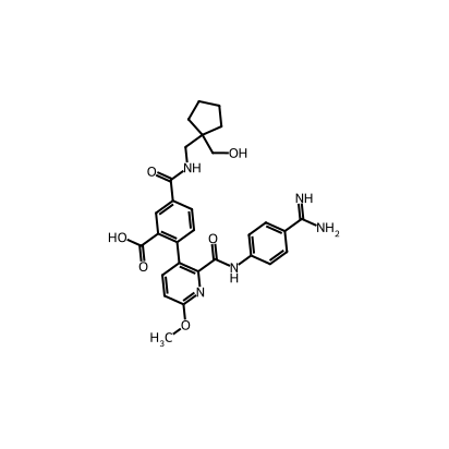 COc1ccc(-c2ccc(C(=O)NCC3(CO)CCCC3)cc2C(=O)O)c(C(=O)Nc2ccc(C(=N)N)cc2)n1